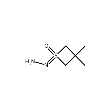 CC1(C)CS(=O)(=NN)C1